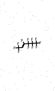 F/C(=C\C(F)(F)F)C(F)(F)C(F)(F)C(F)(F)F